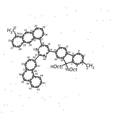 CCCCCCCCC1(CCCCCCCC)c2cc(C)ccc2-c2ccc(-c3cc(-c4cccc5cc6c(C)cccc6cc45)nc(-c4ccc5ccc6ccccc6c5c4)n3)cc21